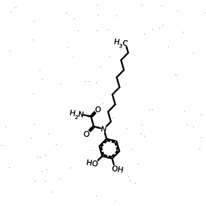 CCCCCCCCCCN(C(=O)C(N)=O)c1ccc(O)c(O)c1